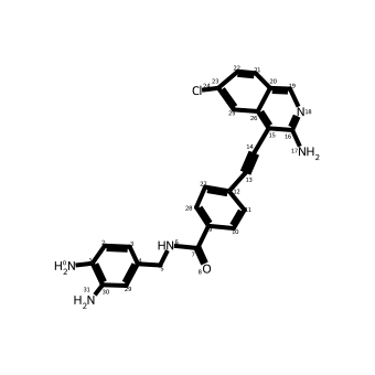 Nc1ccc(CNC(=O)c2ccc(C#Cc3c(N)ncc4ccc(Cl)cc34)cc2)cc1N